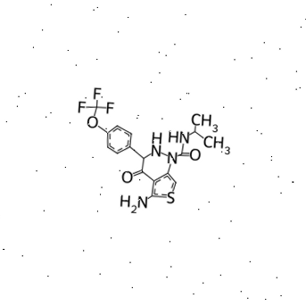 CC(C)NC(=O)N1NC(c2ccc(OC(F)(F)F)cc2)C(=O)c2c1csc2N